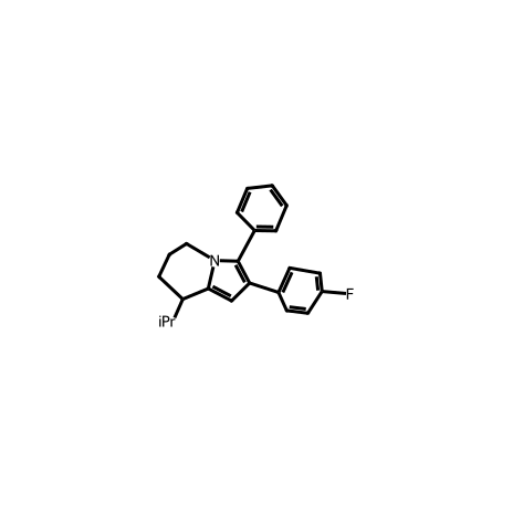 CC(C)C1CCCn2c1cc(-c1ccc(F)cc1)c2-c1ccccc1